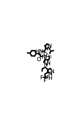 CCC(c1cn[nH]c1CC(F)(F)F)n1cc(NC(=O)[C@@H](NC(=O)c2ccnn2C(C)C)C2CCC(C)CC2)c(F)n1